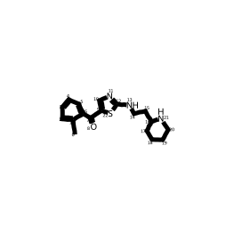 Cc1ccccc1C(=O)c1cnc(NCCC2CCCCN2)s1